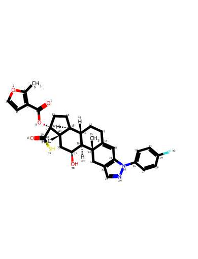 Cc1occc1C(=O)O[C@]1(C(=O)S)CC[C@H]2[C@@H]3CCC4=Cc5c(cnn5-c5ccc(F)cc5)C[C@]4(C)[C@H]3[C@@H](O)C[C@@]21C